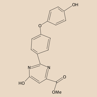 COC(=O)c1cc(O)nc(-c2ccc(Oc3ccc(O)cc3)cc2)n1